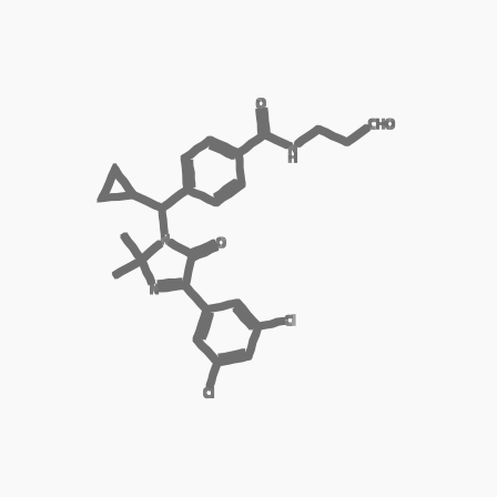 CC1(C)N=C(c2cc(Cl)cc(Cl)c2)C(=O)N1C(c1ccc(C(=O)NCCC=O)cc1)C1CC1